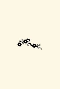 CN(c1ccc2c(c1)CCCN2C(=O)CCc1ccc(C(=N)N)cc1)S(=O)(=O)c1ccccc1